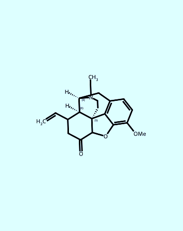 C=CC1CC(=O)C2Oc3c(OC)ccc4c3[C@@]23CCN(C)[C@H](C4)[C@H]13